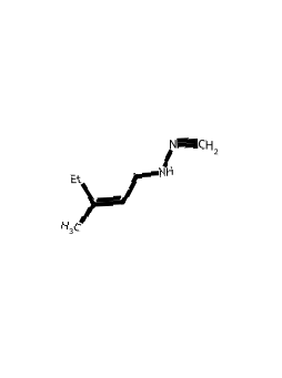 C=NNC/C=C(/C)CC